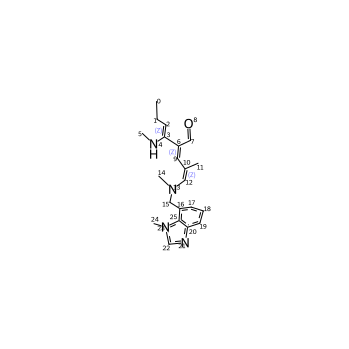 CC/C=C(NC)/C(C=O)=C/C(C)=C\N(C)Cc1cccc2ncn(C)c12